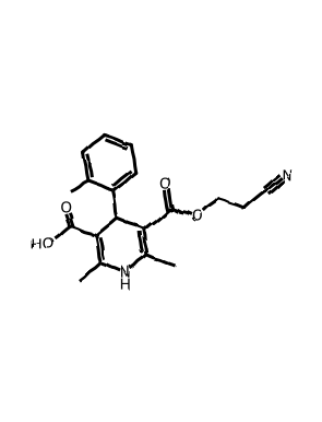 CC1=C(C(=O)O)C(c2ccccc2C)C(C(=O)OCCC#N)=C(C)N1